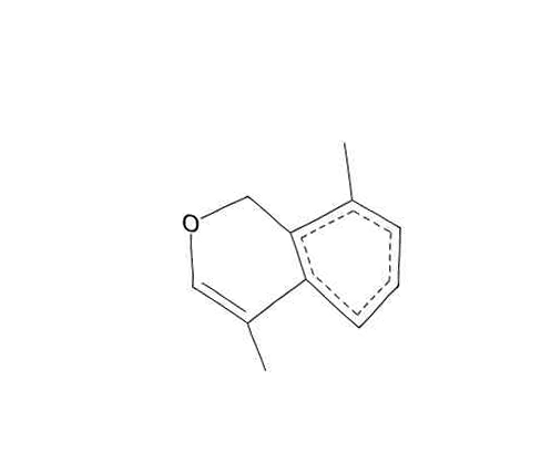 CC1=COCc2c(C)cccc21